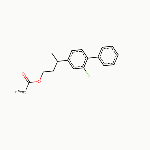 CCCCCC(=O)OCCC(C)c1ccc(-c2ccccc2)c(F)c1